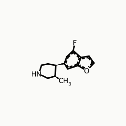 C[C@H]1CNCC[C@H]1c1cc(F)c2ccoc2c1